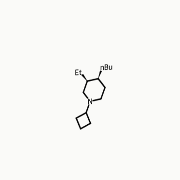 CCCC[C@H]1CCN(C2CCC2)C[C@H]1CC